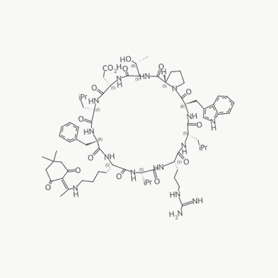 CC(NCCCC[C@@H]1NC(=O)[C@@H](Cc2ccccc2)NC(=O)[C@H](CC(C)C)NC(=O)[C@H](CC(=O)O)NC(=O)[C@H]([C@@H](C)O)NC(=O)[C@@H]2CCCN2C(=O)[C@@H](Cc2c[nH]c3ccccc23)NC(=O)[C@H](CC(C)C)NC(=O)[C@H](CCCNC(=N)N)NC(=O)[C@H](C(C)C)NC1=O)=C1C(=O)CC(C)(C)CC1=O